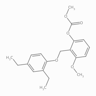 CCc1ccc(OCc2c(OC)cccc2OC(=O)OC)c(CC)c1